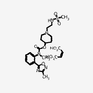 Cc1noc(-c2ccccc2N(C)C(=O)OC2CCN(CCNS(C)(=O)=O)CC2)n1.O=C(O)/C=C\C(=O)O